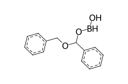 OBOC(OCc1ccccc1)c1ccccc1